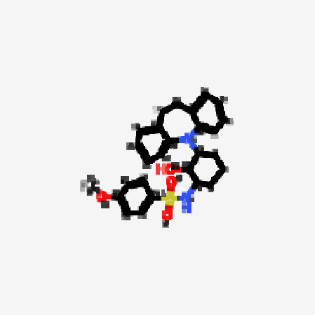 O=S(=O)(NC1CCC[C@H](N2c3ccccc3CCc3ccccc32)[C@@H]1O)c1ccc(OC(F)(F)F)cc1